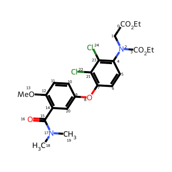 CCOC(=O)CN(C(=O)OCC)c1ccc(Oc2ccc(OC)c(C(=O)N(C)C)c2)c(Cl)c1Cl